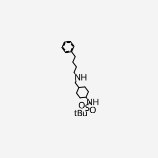 CC(C)(C)S(=O)(=O)NC1CCC(CNCCCCc2ccccc2)CC1